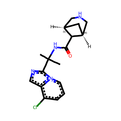 CC(C)(NC(=O)C1[C@@H]2CNC[C@H]1C2)c1ncc2c(Cl)cccn12